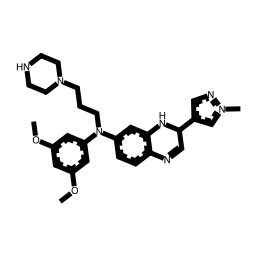 COc1cc(OC)cc(N(CCCN2CCNCC2)c2ccc3c(c2)NC(c2cnn(C)c2)C=N3)c1